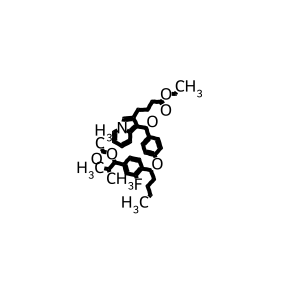 CCCCC(Oc1ccc(C(=O)c2c(CCCC(=O)OCC)cn3ccccc23)cc1)c1ccc(C(OC(C)=O)C(C)C)cc1F